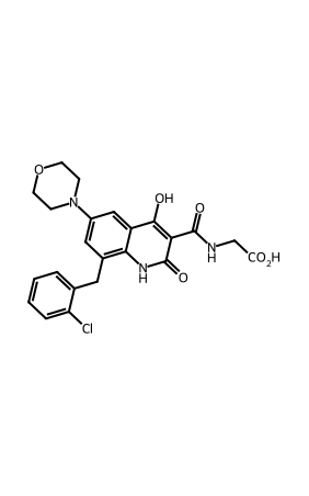 O=C(O)CNC(=O)c1c(O)c2cc(N3CCOCC3)cc(Cc3ccccc3Cl)c2[nH]c1=O